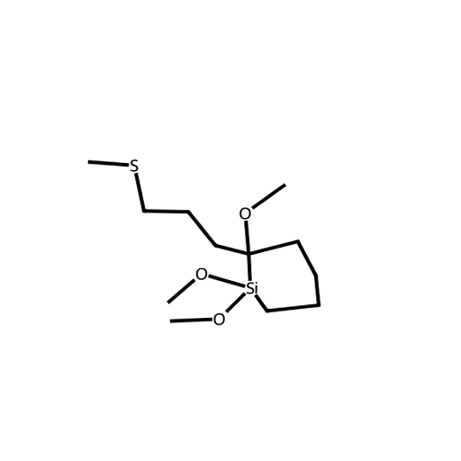 COC1(CCCSC)CCCC[Si]1(OC)OC